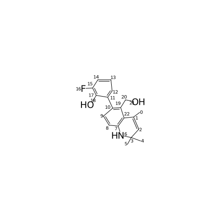 CC1=CC(C)(C)Nc2ccc(-c3cccc(F)c3O)c(CO)c21